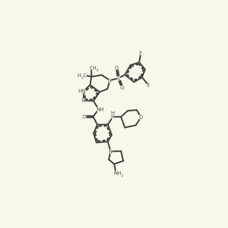 CC1(C)CN(S(=O)(=O)c2cc(F)cc(F)c2)Cc2c(NC(=O)c3ccc(N4CCC(N)C4)cc3NC3CCOCC3)n[nH]c21